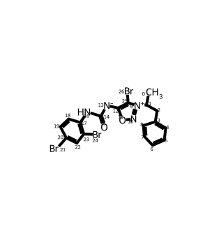 CC(Cc1ccccc1)[n+]1noc([N-]C(=O)Nc2ccc(Br)cc2Br)c1Br